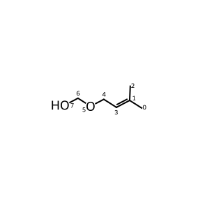 CC(C)=CCOCO